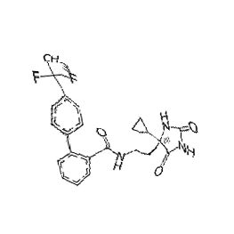 CC(F)(F)c1ccc(-c2ccccc2C(=O)NCC[C@@]2(C3CC3)NC(=O)NC2=O)cc1